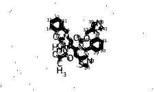 CC(C)C(=O)NC(CN(Cc1ccccc1)C(=O)O)C(Cc1cncs1)N(Cc1ccccc1)C(=O)OCc1cncs1